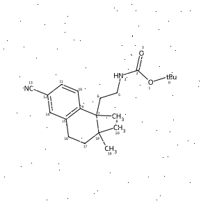 CC(C)(C)OC(=O)NCCC1(C)c2ccc(C#N)cc2CCC1(C)C